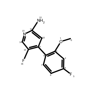 COc1cc(F)ccc1-c1cc(N)ncc1F